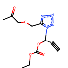 C#C[C@H](OC(=O)OCC)n1nnnc1COCC(C)=O